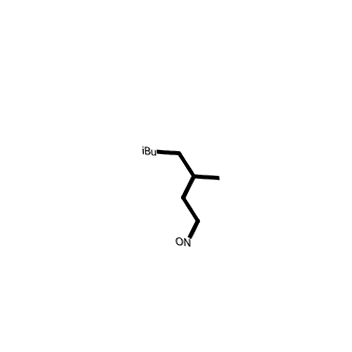 CCC(C)CC(C)CCN=O